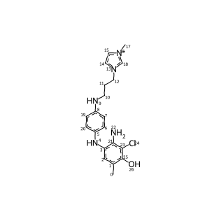 Cc1cc(Nc2ccc(NCCCn3cc[n+](C)c3)cc2)c(N)c(Cl)c1O